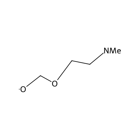 CNCCOC[O]